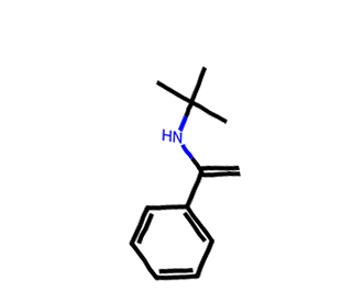 C=C(NC(C)(C)C)c1ccccc1